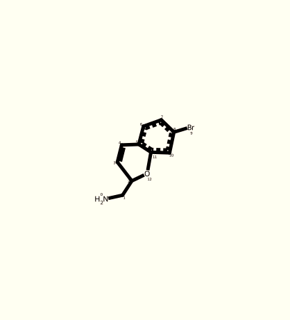 NCC1C=Cc2ccc(Br)cc2O1